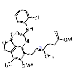 COC(=O)CC/C(C)=C/Cc1c(NC(=O)Nc2ccccc2Cl)c2c(c(C)c1OC)COC2=O